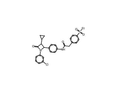 CCS(=O)(=O)c1ccc(CC(=O)Nc2ccc(C3C(C4CC4)C(=O)N3c3cccc(Cl)c3)cc2)cc1